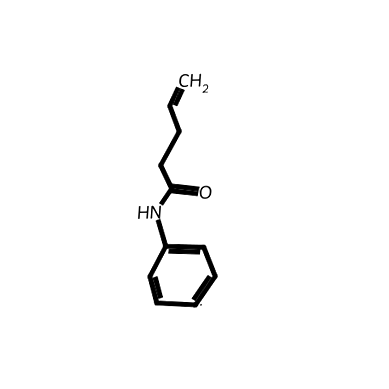 C=CCCC(=O)Nc1cc[c]cc1